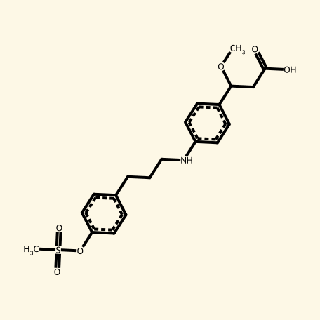 COC(CC(=O)O)c1ccc(NCCCc2ccc(OS(C)(=O)=O)cc2)cc1